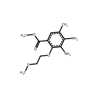 COCCOc1c(C(=O)OC)cc(C)c(N)c1N